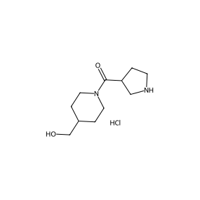 Cl.O=C(C1CCNC1)N1CCC(CO)CC1